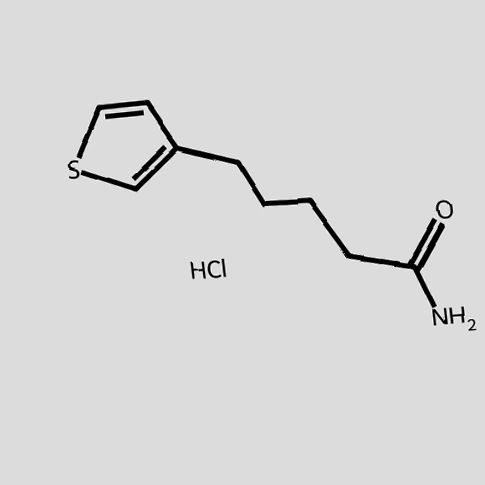 Cl.NC(=O)CCCCc1ccsc1